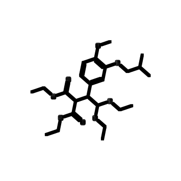 CCOC(=O)C(C(=O)OCC)C(c1ccc(OC)c(OCC(C)C)c1)C(OCC)OCC